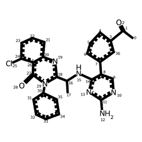 CC(=O)c1cccc(-c2cnc(N)nc2NC(C)c2nc3cccc(Cl)c3c(=O)n2-c2ccccc2)c1